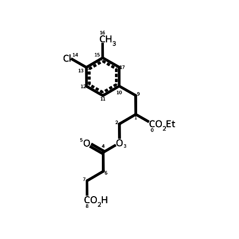 CCOC(=O)C(COC(=O)CCC(=O)O)Cc1ccc(Cl)c(C)c1